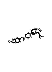 O=C1Cc2ccc(CC(=O)N3CCN(c4ccc5nnc(C6CC6)n5n4)CC3)cc2N1